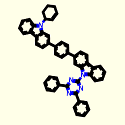 C1=CC(n2c3ccccc3c3ccc(-c4ccc(-c5ccc6c7ccccc7n(-c7nc(-c8ccccc8)nc(-c8ccccc8)n7)c6c5)cc4)cc32)CCC1